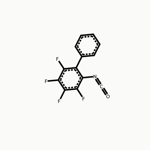 O=C=Nc1c(F)c(F)c(F)c(F)c1-c1ccccc1